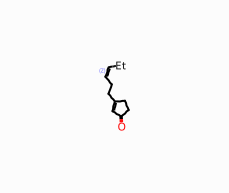 CC/C=C\CCC1=CC(=O)CC1